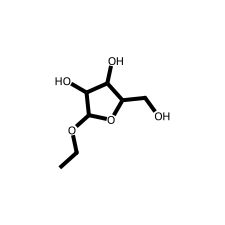 CCOC1OC(CO)C(O)C1O